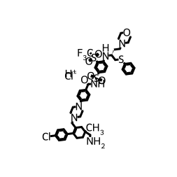 CC1(CN)CCC(c2ccc(Cl)cc2)=C(CN2CCN(c3ccc(C(=O)NS(=O)(=O)c4ccc(N[C@H](CCN5CCOCC5)CSc5ccccc5)c(S(=O)(=O)C(F)(F)F)c4)cc3)CC2)C1.[Cl-].[H+]